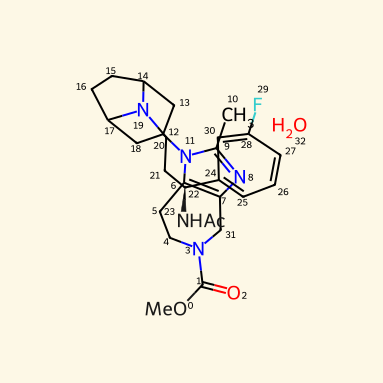 COC(=O)N1CCc2c(nc(C)n2C2CC3CCC(C2)N3CC[C@H](NC(C)=O)c2cccc(F)c2)C1.O